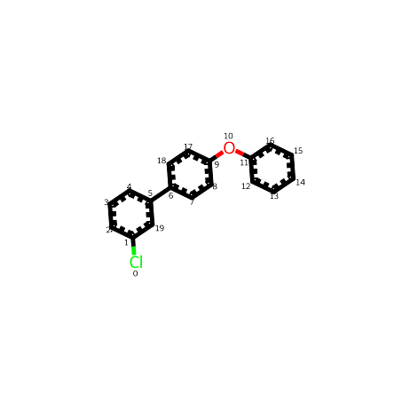 Clc1[c]ccc(-c2ccc(Oc3ccccc3)cc2)c1